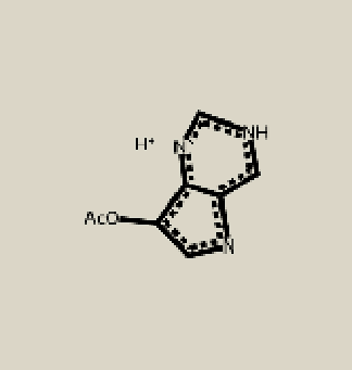 CC(=O)Oc1cnc2c[nH]cnc1-2.[H+]